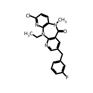 CCN1c2ncc(Cc3cccc(F)c3)cc2C(=O)N(C)c2ccc(Cl)nc21